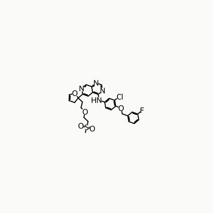 CS(=O)(=O)CCOCCC1(c2cc3c(Nc4ccc(OCc5cccc(F)c5)c(Cl)c4)ncnc3cn2)CC=CO1